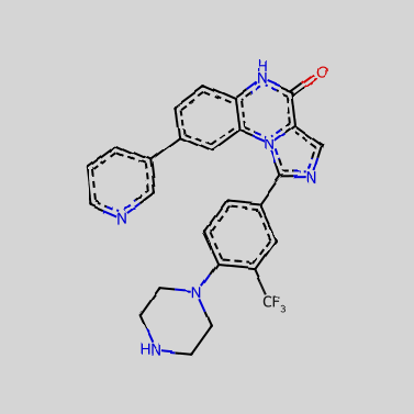 O=c1[nH]c2ccc(-c3cccnc3)cc2n2c(-c3ccc(N4CCNCC4)c(C(F)(F)F)c3)ncc12